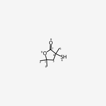 CC1(C)CC(C)(S)C(=O)O1